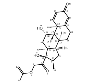 C=C(C)OCC(=O)[C@@]1(O)[C@H](C)C[C@H]2[C@@H]3CCC4=CC(=O)C=C[C@]4(C)[C@@]3(F)[C@@H](O)C[C@@]21C